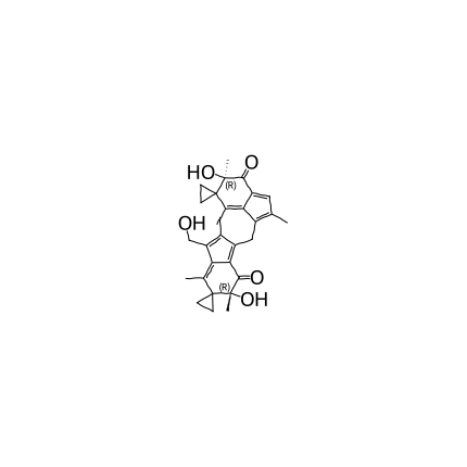 CC1=C(CC2=C3C(=O)[C@](C)(O)C4(CC4)C(C)=C3C(CO)=C2C)C2=C(C)C3(CC3)[C@@](C)(O)C(=O)C2=C1